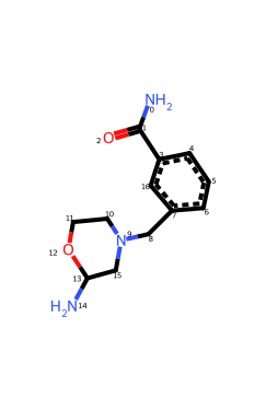 NC(=O)c1cccc(CN2CCOC(N)C2)c1